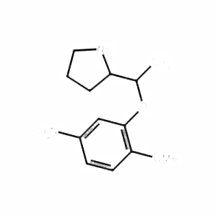 COc1ccc([N+](=O)[O-])cc1OC(C)C1CCCN1